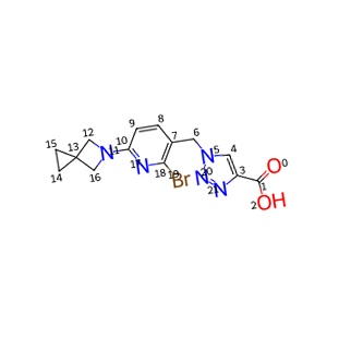 O=C(O)c1cn(Cc2ccc(N3CC4(CC4)C3)nc2Br)nn1